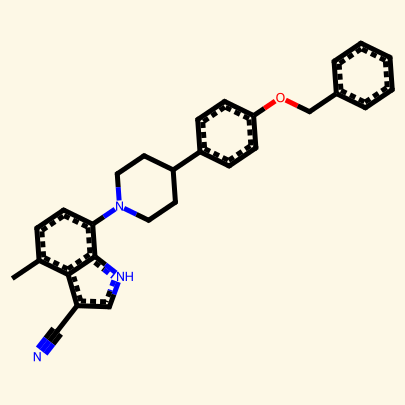 Cc1ccc(N2CCC(c3ccc(OCc4ccccc4)cc3)CC2)c2[nH]cc(C#N)c12